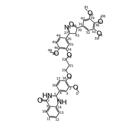 COc1cc(C2NC(=O)c3ccccc3N2)ccc1OCCCOc1cc(C2=NOC(c3cc(OC)c(OC)c(OC)c3)C2)ccc1OC